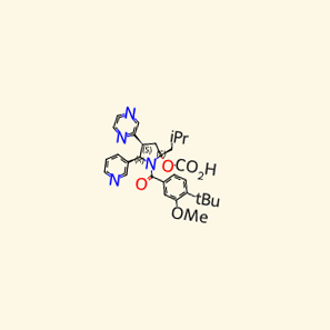 COc1cc(C(=O)N2[C@@H](c3cccnc3)[C@@H](c3cnccn3)C[C@]2(CC(C)C)OC(=O)O)ccc1C(C)(C)C